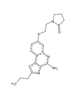 CCCc1nc2c(N)nc3cc(OCCN4CCCC4=O)ccc3c2s1